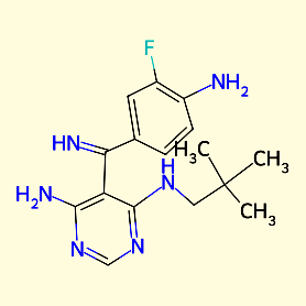 CC(C)(C)CNc1ncnc(N)c1C(=N)c1ccc(N)c(F)c1